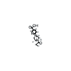 CCC(=O)N1[C@H](C)CN(c2ccc(C(=O)O)cn2)C[C@@H]1C